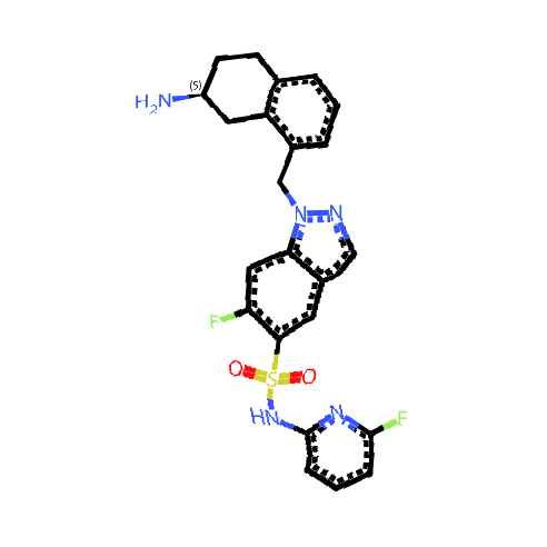 N[C@H]1CCc2cccc(Cn3ncc4cc(S(=O)(=O)Nc5cccc(F)n5)c(F)cc43)c2C1